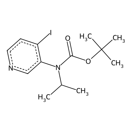 CC(C)N(C(=O)OC(C)(C)C)c1cnccc1I